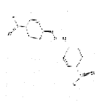 O=[N+]([O-])C1C=C[C@@H](OOO[C@H]2C=C[C@@H]([N+](=O)[O-])CC2)CC1